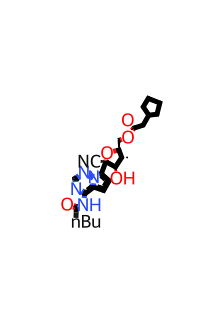 CCCCC(=O)Nc1ncnn2c([C@]3(C#N)O[C@@H](COC(=O)CC4CCCC4)[CH][C@H]3O)ccc12